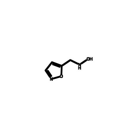 ONCc1ccno1